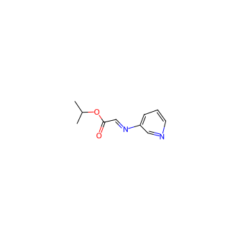 CC(C)OC(=O)C=Nc1cccnc1